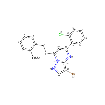 COc1ccccc1CCc1cc(-c2ccccc2Cl)nc2c(Br)cnn12